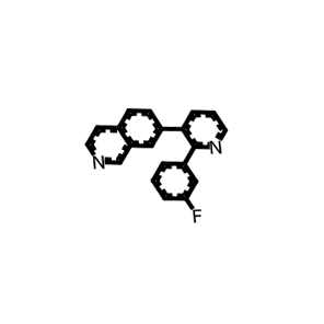 Fc1cccc(-c2ncccc2-c2ccc3ccncc3c2)c1